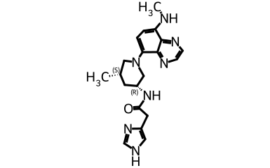 CNc1ccc(N2C[C@@H](C)C[C@@H](NC(=O)Cc3c[nH]cn3)C2)c2nccnc12